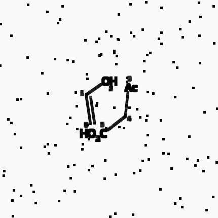 C=CO.CC(=O)CC(=O)O